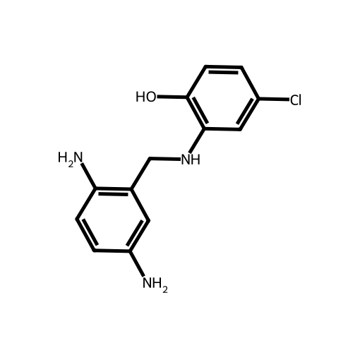 Nc1ccc(N)c(CNc2cc(Cl)ccc2O)c1